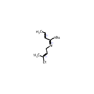 C/C=C/C(CCCC)=N\C/C=C(\C)CC